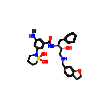 CCNc1cc(C(=O)N[C@@H](Cc2ccccc2)[C@H](O)CNCc2ccc3c(c2)OCC3)cc(N2CCCCS2(O)O)c1